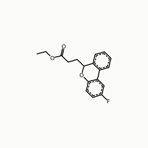 CCOC(=O)CCC1Oc2ccc(F)cc2-c2ccccc21